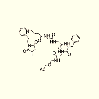 CC(=O)COCNC(=O)CNC(=O)[C@H](Cc1ccccc1)NC(=O)CNC(=O)CNC(=O)CCC[n+]1ccccc1CCN1C(=O)CC(C)C1=O